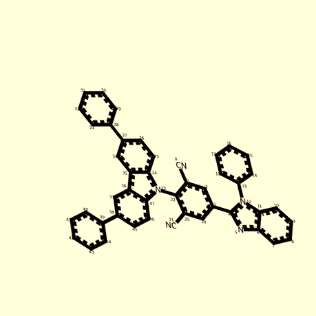 N#Cc1cc(-c2nc3ccccc3n2-c2ccccc2)cc(C#N)c1-n1c2ccc(-c3ccccc3)cc2c2cc(-c3ccccc3)ccc21